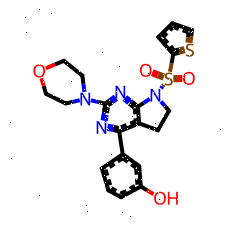 O=S(=O)(c1cccs1)N1CCc2c(-c3cccc(O)c3)nc(N3CCOCC3)nc21